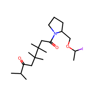 CC(I)OCC1CCCN1C(=O)CC(C)(C)C(C)(C)CC(=O)C(C)C